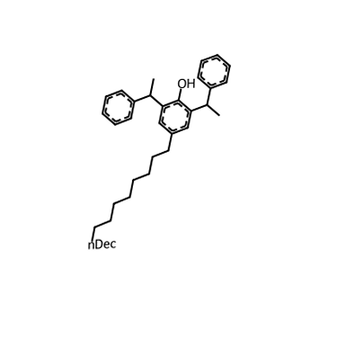 CCCCCCCCCCCCCCCCCCc1cc(C(C)c2ccccc2)c(O)c(C(C)c2ccccc2)c1